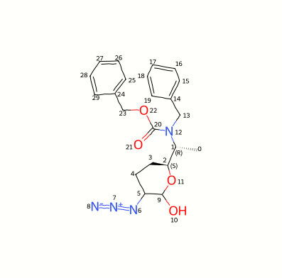 C[C@H]([C@@H]1CCC(N=[N+]=[N-])C(O)O1)N(Cc1ccccc1)C(=O)OCc1ccccc1